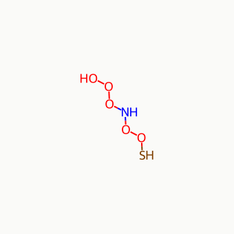 OOONOOS